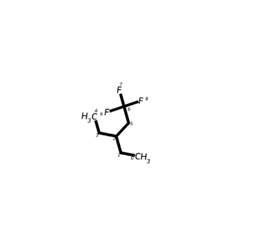 CCC(CC)CC(F)(F)F